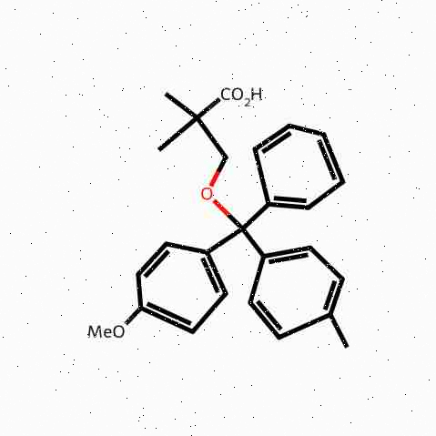 COc1ccc(C(OCC(C)(C)C(=O)O)(c2ccccc2)c2ccc(C)cc2)cc1